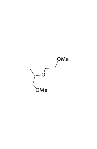 [CH2]C(COC)OCCOC